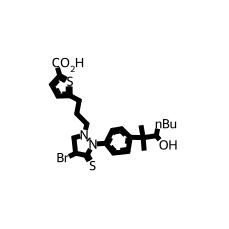 CCCCC(O)C(C)(C)c1ccc(N2C(=S)C(Br)CN2CCCc2ccc(C(=O)O)s2)cc1